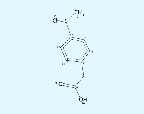 CC(Cl)c1ccc(CC(=O)O)nc1